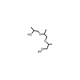 CC(O)COC(C)COC(C)COC(C)C